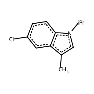 Cc1cn(C(C)C)c2ccc(Cl)cc12